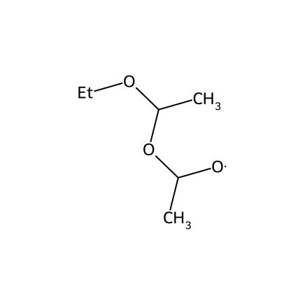 CCOC(C)OC(C)[O]